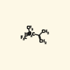 C=C(C)C(=O)O.FC(F)(F)OC(F)(F)F